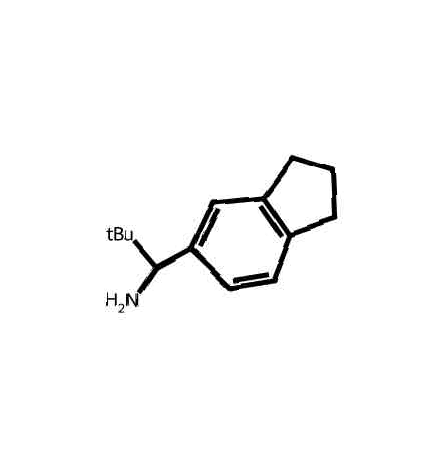 CC(C)(C)C(N)c1ccc2c(c1)CCC2